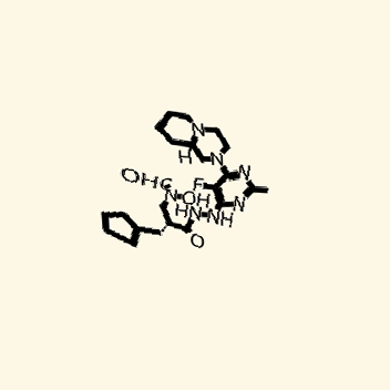 Cc1nc(NNC(=O)[C@H](CC2CCCC2)CN(O)C=O)c(F)c(N2CCN3CCCC[C@@H]3C2)n1